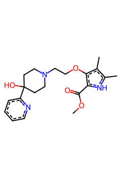 COC(=O)c1[nH]c(C)c(C)c1OCCN1CCC(O)(c2ccccn2)CC1